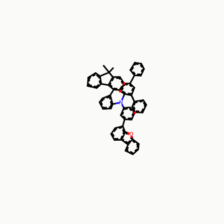 CC1(C)c2ccccc2-c2c(-c3ccccc3N(c3cccc(-c4cccc5c4oc4ccccc45)c3)c3ccc(-c4ccccc4)cc3-c3ccccc3)cccc21